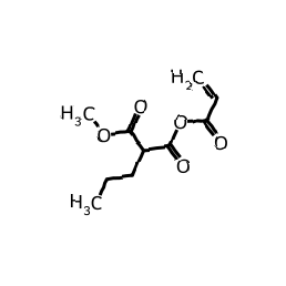 C=CC(=O)OC(=O)C(CCC)C(=O)OC